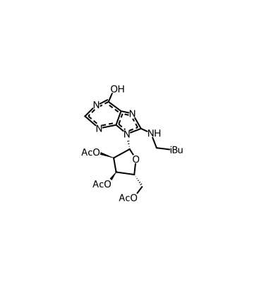 CCC(C)CNc1nc2c(O)ncnc2n1[C@@H]1O[C@H](COC(C)=O)[C@@H](OC(C)=O)[C@H]1OC(C)=O